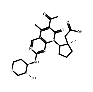 CC(=O)c1c(C)c2cnc(N[C@@H]3CCOC[C@H]3O)nc2n([C@@H]2CCC[C@]2(C)CC(=O)O)c1=O